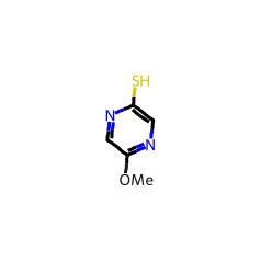 COc1cnc(S)cn1